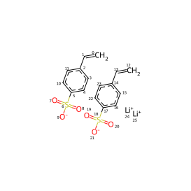 C=Cc1ccc(S(=O)(=O)[O-])cc1.C=Cc1ccc(S(=O)(=O)[O-])cc1.[Li+].[Li+]